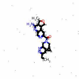 C=Cc1ccc(CN(CC2CC2)C(=O)c2cc3c4c(c(N)nc3cn2)[C@@H](C)OC4)nn1